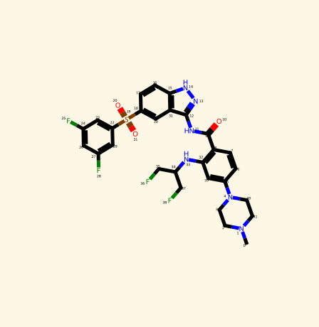 CN1CCN(c2ccc(C(=O)Nc3n[nH]c4ccc(S(=O)(=O)c5cc(F)cc(F)c5)cc34)c(NC(CF)CF)c2)CC1